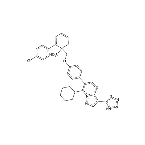 O=C(O)C1(COc2ccc(-c3cnc4c(-c5nnn[nH]5)cnn4c3C3CCCCC3)cc2)CC=CC=C1c1ccc(Cl)cc1